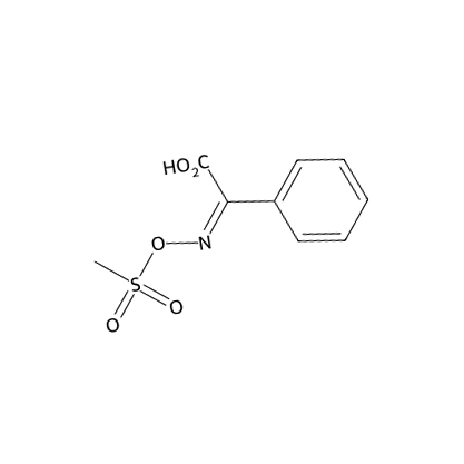 CS(=O)(=O)ON=C(C(=O)O)c1ccccc1